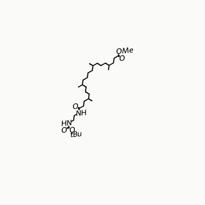 COC(=O)CCC(C)CCCC(C)CCCCC(C)CCCC(C)CCC(=O)NCCNC(=O)OC(C)(C)C